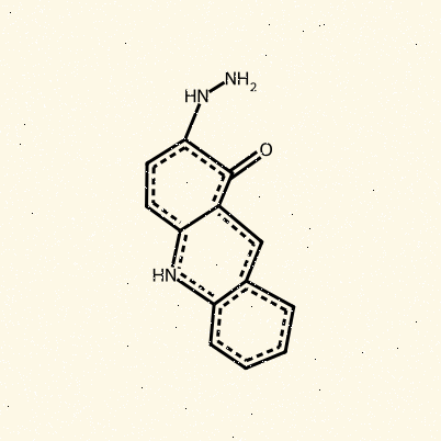 NNc1ccc2[nH]c3ccccc3cc-2c1=O